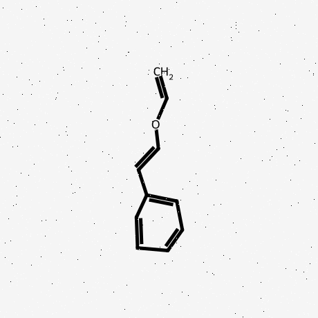 C=COC=Cc1ccccc1